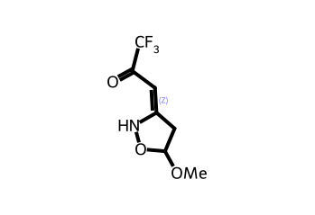 COC1C/C(=C/C(=O)C(F)(F)F)NO1